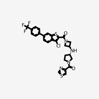 O=C(c1cscn1)N1CC[C@H](NC2CN(C(=O)c3sc4cc(-c5ccc(C(F)(F)F)cc5)ccc4c3Cl)C2)C1